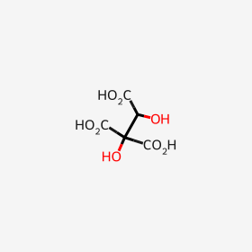 O=C(O)C(O)C(O)(C(=O)O)C(=O)O